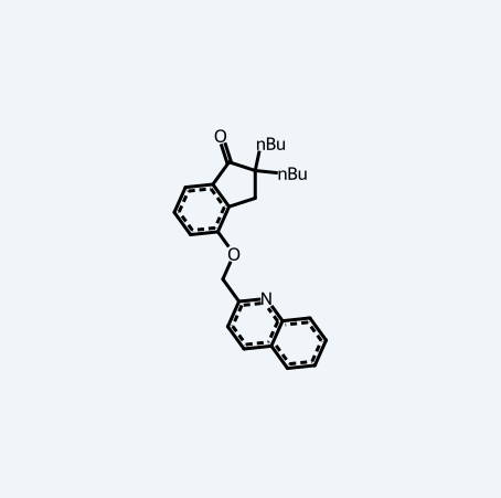 CCCCC1(CCCC)Cc2c(OCc3ccc4ccccc4n3)cccc2C1=O